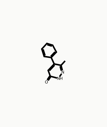 Cc1n[nH]c(=O)cc1-c1ccccc1